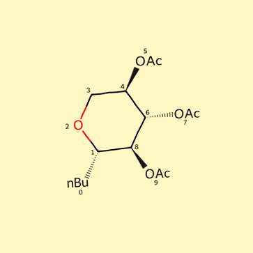 CCCC[C@@H]1OC[C@@H](OC(C)=O)[C@H](OC(C)=O)[C@H]1OC(C)=O